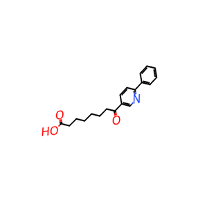 O=C(O)CCCCCCC(=O)c1ccc(-c2ccccc2)nc1